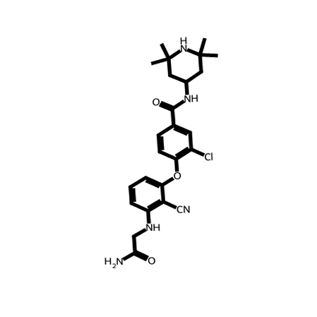 CC1(C)CC(NC(=O)c2ccc(Oc3cccc(NCC(N)=O)c3C#N)c(Cl)c2)CC(C)(C)N1